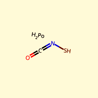 O=C=NS.[PoH2]